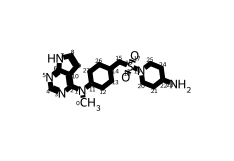 CN(c1ncnc2[nH]ccc12)C1CCC(CS(=O)(=O)N2CCC(N)CC2)CC1